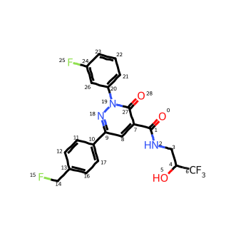 O=C(NCC(O)C(F)(F)F)c1cc(-c2ccc(CF)cc2)nn(-c2cccc(F)c2)c1=O